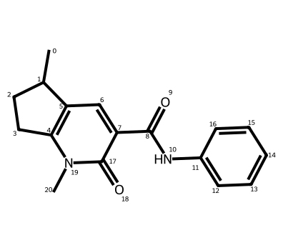 CC1CCc2c1cc(C(=O)Nc1ccccc1)c(=O)n2C